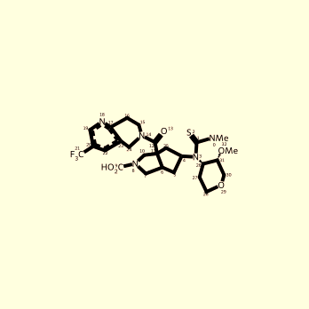 CNC(=S)N(C1CC2CN(C(=O)O)CC2(C(=O)N2CCc3ncc(C(F)(F)F)cc3C2)C1)[C@H]1CCOC[C@H]1OC